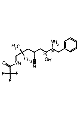 CC(C)(CNC(=O)C(F)(F)F)CC(C#N)C[C@@H](O)[C@@H](N)Cc1ccccc1